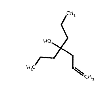 C=CCC(O)(CCC)CCC